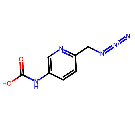 [N-]=[N+]=NCc1ccc(NC(=O)O)cn1